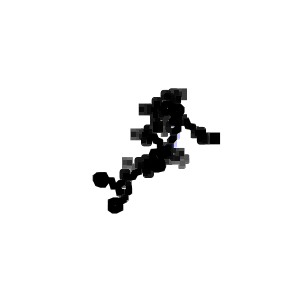 CN(CCCC(=O)N1CCN(Cc2ccccc2)CC(CCc2ccccc2)C1)S(=O)(=O)c1cccc2c3c(ccc12)[N+](CCCS(=O)(=O)O)=C(/C=C/C=C/C=C1/N(CCCSOOO)c2ccc4c(S(=O)(=O)O)cc(S(=O)(=O)O)cc4c2C1(C)C)C3(C)C